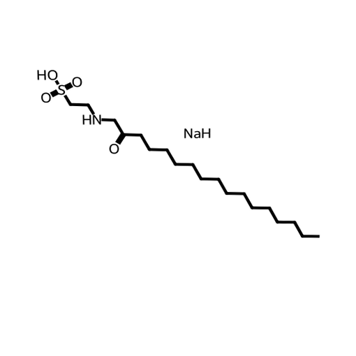 CCCCCCCCCCCCCCCC(=O)CNCCS(=O)(=O)O.[NaH]